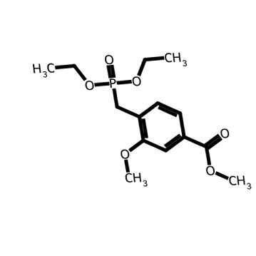 CCOP(=O)(Cc1ccc(C(=O)OC)cc1OC)OCC